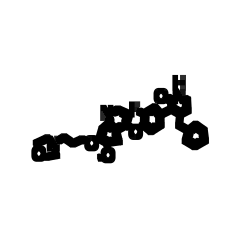 COc1cc2c(Oc3ccc(-c4c(Cc5ccccc5)cc[nH]c4=O)cc3F)ccnc2cc1OCCCN1CCOCC1